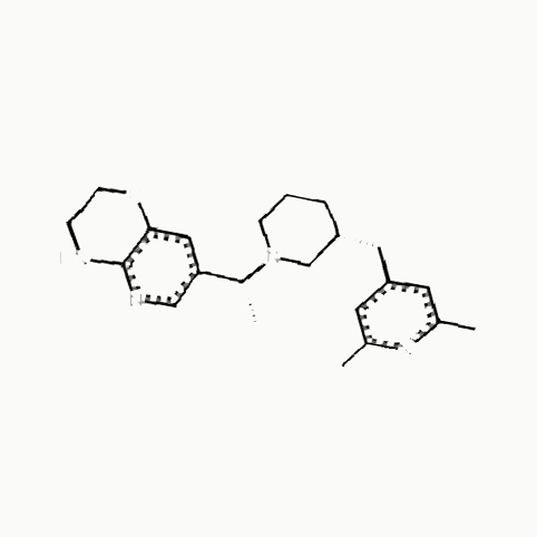 Cc1cc(C[C@H]2CCCN([C@H](C)c3cnc4c(c3)OCCN4)C2)cc(C)n1